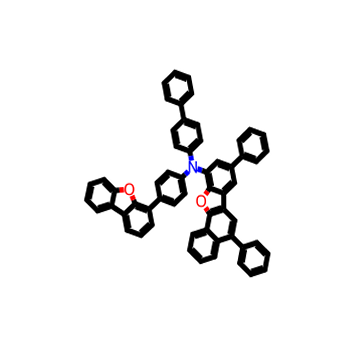 c1ccc(-c2ccc(N(c3ccc(-c4cccc5c4oc4ccccc45)cc3)c3cc(-c4ccccc4)cc4c3oc3c5ccccc5c(-c5ccccc5)cc43)cc2)cc1